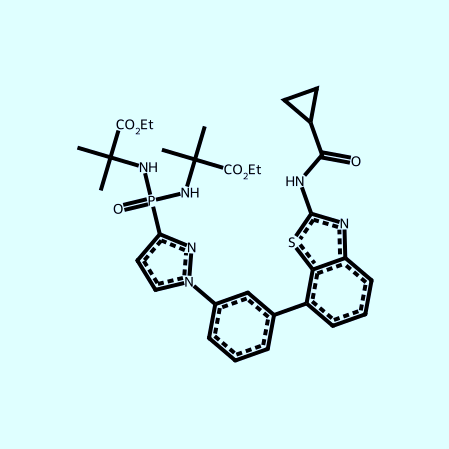 CCOC(=O)C(C)(C)NP(=O)(NC(C)(C)C(=O)OCC)c1ccn(-c2cccc(-c3cccc4nc(NC(=O)C5CC5)sc34)c2)n1